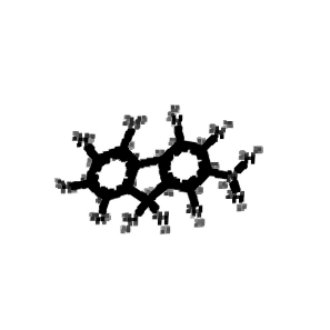 [2H]c1c([2H])c([2H])c2c(c1[2H])-c1c([2H])c([2H])c(N([2H])[2H])c([2H])c1C2([2H])[2H]